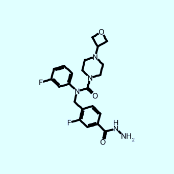 NNC(=O)c1ccc(CN(C(=O)N2CCN(C3COC3)CC2)c2cccc(F)c2)c(F)c1